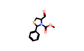 COC(=O)N1C(C=O)CSC1c1ccccc1